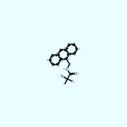 CC(F)(F)C(=O)OCc1c2ccccc2cc2ccccc12